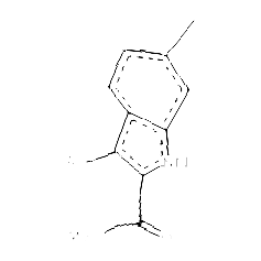 COC(=O)c1[nH]c2cc(C)ccc2c1C(C)=O